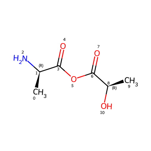 C[C@@H](N)C(=O)OC(=O)[C@@H](C)O